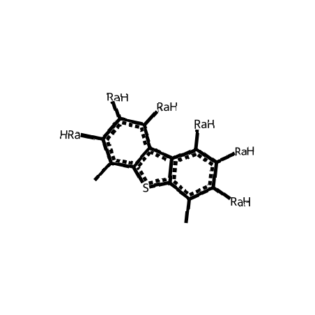 Cc1[c]([RaH])[c]([RaH])[c]([RaH])c2c1sc1c(C)[c]([RaH])[c]([RaH])[c]([RaH])c12